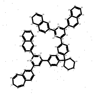 C1=Cc2ccc(-c3cc(-c4ccc(C5(c6ccc(-c7cc(-c8ccc9ccccc9c8)nc(-c8ccc9c(c8)C=CCC9)n7)cc6)CCCCC5)cc4)nc(-c4ccc5ccccc5c4)n3)cc2C=CC1